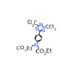 CCOC(=O)CN(CC(=O)OCC)c1ccc(-c2nc(C(Cl)(Cl)Cl)nc(C(Cl)(Cl)Cl)n2)cc1